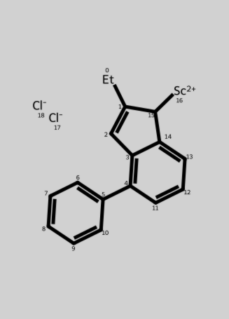 CCC1=Cc2c(-c3ccccc3)cccc2[CH]1[Sc+2].[Cl-].[Cl-]